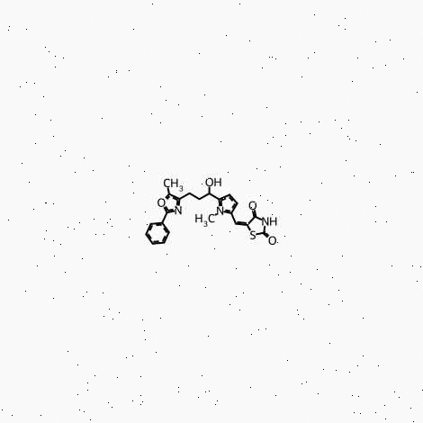 Cc1oc(-c2ccccc2)nc1CCC(O)c1ccc(/C=C2/SC(=O)NC2=O)n1C